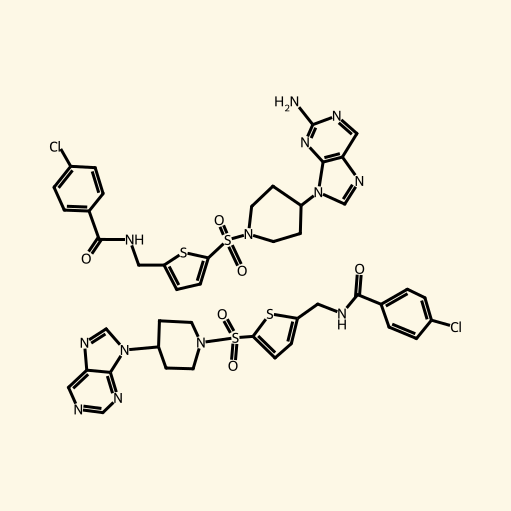 Nc1ncc2ncn(C3CCN(S(=O)(=O)c4ccc(CNC(=O)c5ccc(Cl)cc5)s4)CC3)c2n1.O=C(NCc1ccc(S(=O)(=O)N2CCC(n3cnc4cncnc43)CC2)s1)c1ccc(Cl)cc1